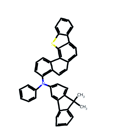 CC1(C)c2ccccc2-c2cc(N(c3ccccc3)c3cccc4c3ccc3ccc5c6ccccc6sc5c34)ccc21